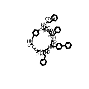 O=C1CCC(=O)N[C@H](CCc2ccccc2)C(=O)N[C@@H](Cc2ccc(-c3ccccc3)cc2)C(=O)N[C@H](Cc2ccccc2)C(=O)N[C@H](C(=O)N[C@@H](Cc2ccccc2)C(=O)O)Cc2ccc(cc2)N1